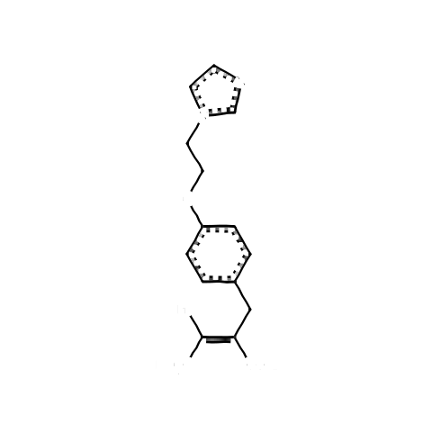 CCOC(=O)C(Cc1ccc(OCCn2ccnc2)cc1)=C(C(=O)O)C(C)C